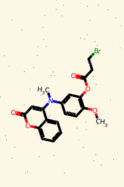 COc1ccc(N(C)c2cc(=O)oc3ccccc23)cc1OC(=O)CCBr